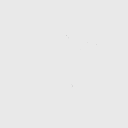 O=c1c2ccccc2n(-c2ccccc2)c2cc(-c3cc(Cl)cc4c3oc3ccccc34)ccc12